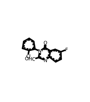 O=Cc1nc2ccc(F)cc2c(=O)n1-c1ccccc1Cl